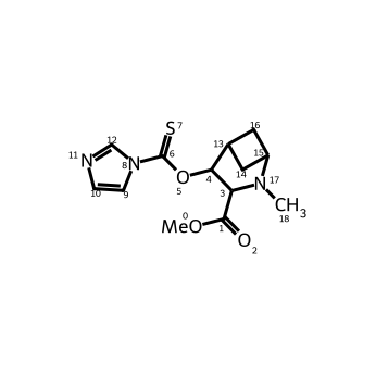 COC(=O)C1C(OC(=S)n2ccnc2)C2CC(C2)N1C